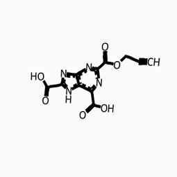 C#CCOC(=O)c1nc(C(=O)O)c2[nH]c(C(=O)O)nc2n1